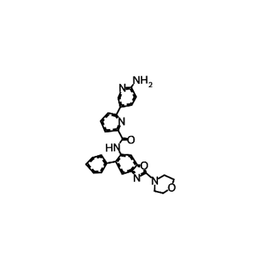 Nc1ccc(-c2cccc(C(=O)Nc3cc4oc(N5CCOCC5)nc4cc3-c3ccccc3)n2)cn1